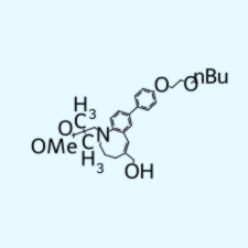 CCCCOCCOc1ccc(-c2ccc3c(c2)/C=C(/CO)CCCN3CC(C)(C)C(=O)OC)cc1